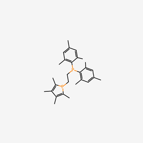 Cc1cc(C)c(P(CCp2c(C)c(C)c(C)c2C)c2c(C)cc(C)cc2C)c(C)c1